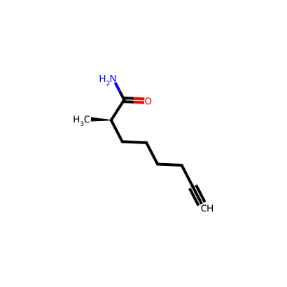 C#CCCCC[C@@H](C)C(N)=O